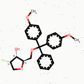 COc1ccc(C(OC[C@H]2O[CH][C@H](F)[C@@H]2O)(c2ccccc2)c2ccc(OC)cc2)cc1